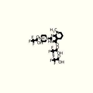 CN1CCCc2c1nc(N1CCNCC1)[nH]c2=O.O=C(O)C(F)(F)F.O=C(O)C(F)(F)F.O=C(O)C(F)(F)F